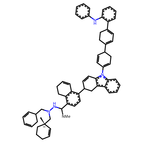 CNC(NN(CC1C=CC=CC1)C[C@]1(C)C=CCCC1)c1ccc(C2C=Cc3c(c4ccccc4n3C3=CCC(C4=CC=C(c5ccccc5Nc5ccccc5)CC4)C=C3)C2)c2c1CCC=C2